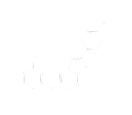 Cc1cc(Nc2cnc3[nH]c(-c4ccc(N)nc4)nc3c2)ccn1